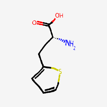 N[C@H](Cc1cccs1)C(=O)O